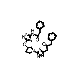 O=C(Cc1ccccc1)Cc1nnc(N2CC[C@@H](Oc3nnc(NC(=O)Cc4ccccc4)s3)C2)s1